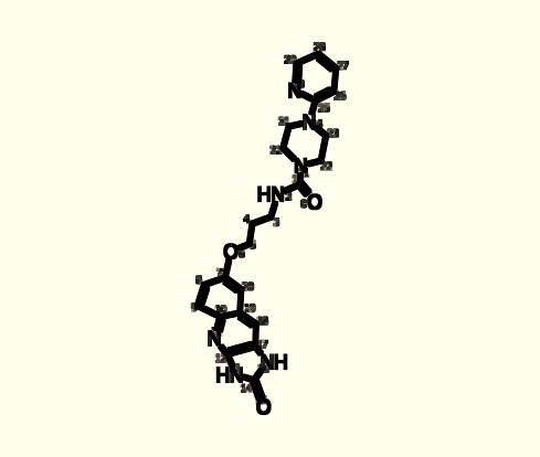 O=C(NCCCOc1ccc2nc3[nH]c(=O)[nH]c3cc2c1)N1CCN(c2ccccn2)CC1